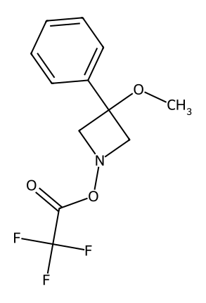 COC1(c2ccccc2)CN(OC(=O)C(F)(F)F)C1